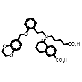 O=C(O)CCCCN(CCc1ccccc1OCc1ccc2c(c1)OCCO2)[C@@H]1CCCc2cc(C(=O)O)ccc21